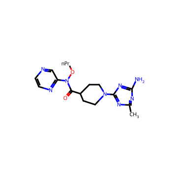 CCCON(C(=O)C1CCN(c2nc(C)nc(N)n2)CC1)c1cnccn1